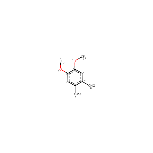 COc1cc(OC(F)(F)F)c(OC(F)(F)F)cc1C=O